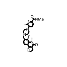 CNC(=O)c1ccc(N2CCN(Cc3ccc4c5c(c(=O)[nH]c4c3F)CCO5)CC2)c(F)n1